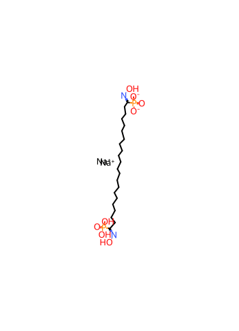 O=P([O-])([O-])C(CCCCCCCCCCCCCCCCCCCCC(=NO)P(=O)(O)O)=NO.[Na+].[Na+]